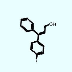 OC/C=C(\c1ccccc1)c1ccc(I)cc1